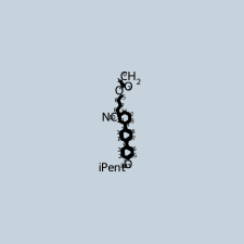 C=CC(=O)OCCCCC1(C#N)CCCC(c2ccc(-c3ccc(OC(C)CCC)cc3)cc2)C1